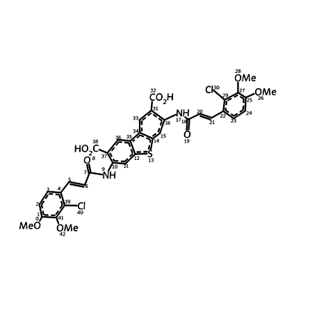 COc1ccc(C=CC(=O)Nc2cc3sc4cc(NC(=O)C=Cc5ccc(OC)c(OC)c5Cl)c(C(=O)O)cc4c3cc2C(=O)O)c(Cl)c1OC